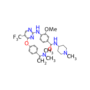 C=C(c1ccc(Oc2nc(Nc3ccc(C(=O)NC4CCN(C)CC4)cc3OC)ncc2C(F)(F)F)cc1)N(C)C